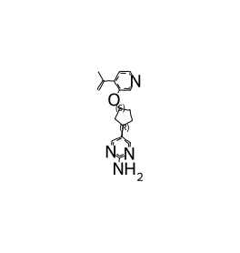 C=C(C)c1ccncc1O[C@H]1CC[C@@H](c2cnc(N)nc2)C1